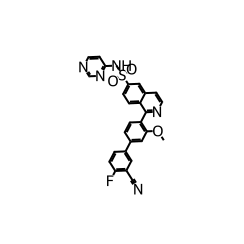 COc1cc(-c2ccc(F)c(C#N)c2)ccc1-c1nccc2cc(S(=O)(=O)Nc3ccncn3)ccc12